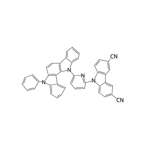 N#Cc1ccc2c(c1)c1cc(C#N)ccc1n2-c1cccc(-n2c3ccccc3c3ccc4c(c5ccccc5n4-c4ccccc4)c32)n1